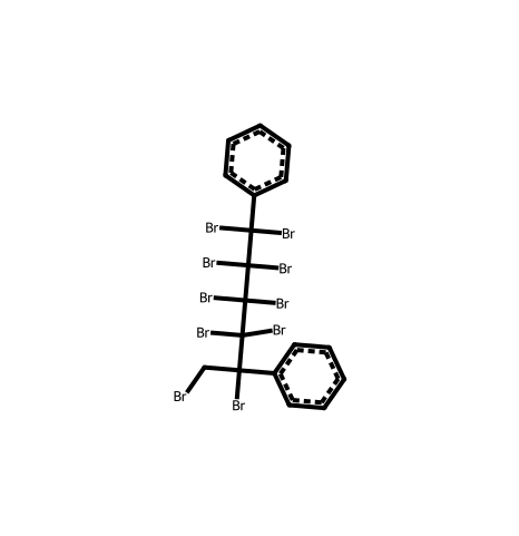 BrCC(Br)(c1ccccc1)C(Br)(Br)C(Br)(Br)C(Br)(Br)C(Br)(Br)c1ccccc1